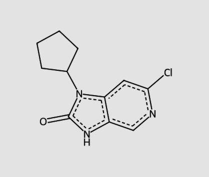 O=c1[nH]c2cnc(Cl)cc2n1C1CCCC1